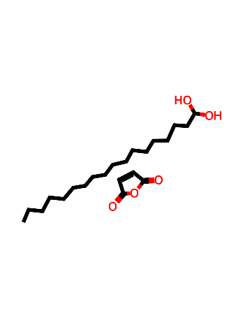 CCCCCCCCCCCCCCCCCC(O)O.O=C1C=CC(=O)O1